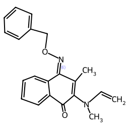 C=CN(C)C1=C(C)/C(=N/OCc2ccccc2)c2ccccc2C1=O